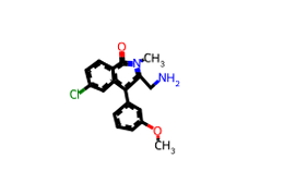 COc1cccc(-c2c(CN)n(C)c(=O)c3ccc(Cl)cc23)c1